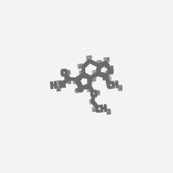 CCOc1sc(C(N)=O)c2c1-c1c(cnn1C)CC2